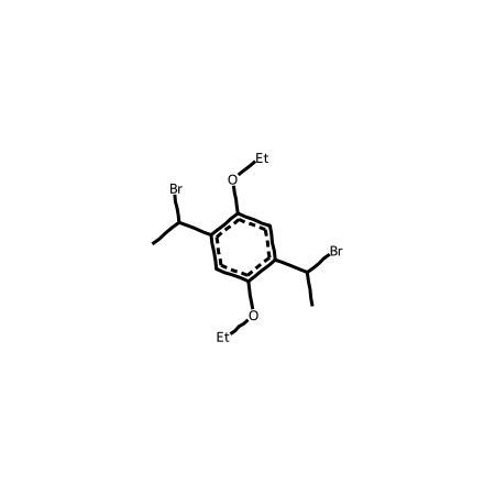 CCOc1cc(C(C)Br)c(OCC)cc1C(C)Br